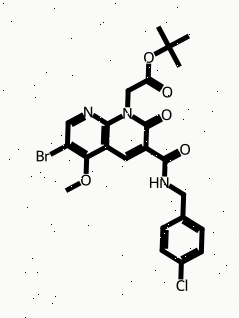 COc1c(Br)cnc2c1cc(C(=O)NCc1ccc(Cl)cc1)c(=O)n2CC(=O)OC(C)(C)C